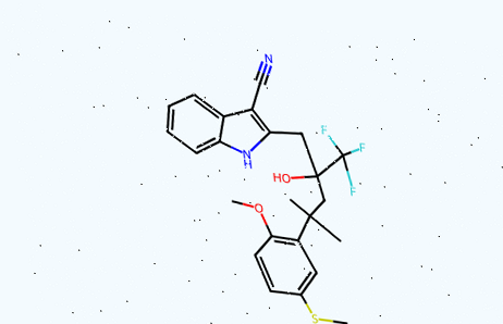 COc1ccc(SC)cc1C(C)(C)CC(O)(Cc1[nH]c2ccccc2c1C#N)C(F)(F)F